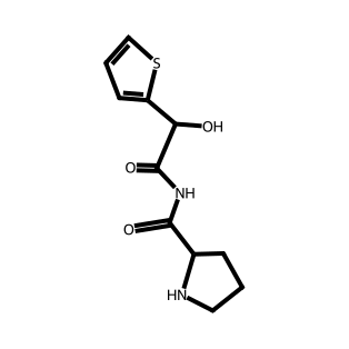 O=C(NC(=O)C(O)c1cccs1)C1CCCN1